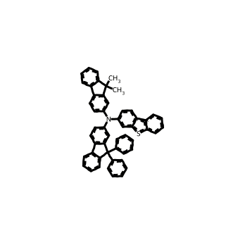 CC1(C)c2ccccc2-c2ccc(N(c3ccc4c(c3)C(c3ccccc3)(c3ccccc3)c3ccccc3-4)c3ccc4c(c3)sc3ccccc34)cc21